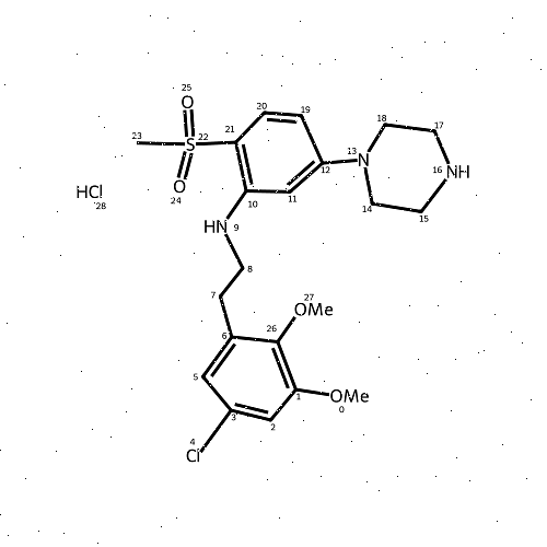 COc1cc(Cl)cc(CCNc2cc(N3CCNCC3)ccc2S(C)(=O)=O)c1OC.Cl